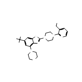 FCc1cccnc1N1CCN(c2nc3c(N4CCOCC4)cc(C(F)(F)F)cc3[nH]2)CC1